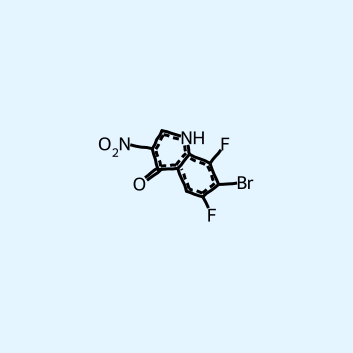 O=c1c([N+](=O)[O-])c[nH]c2c(F)c(Br)c(F)cc12